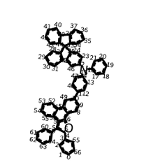 c1ccc(-c2oc3c4ccc(-c5ccc(N(c6ccccc6)c6ccc(C7(c8ccccc8)c8ccccc8-c8ccccc87)cc6)cc5)cc4c4ccccc4c3c2-c2ccccc2)cc1